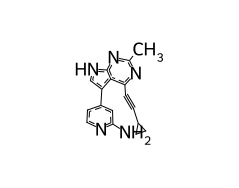 Cc1nc(C#CC2CC2)c2c(-c3ccnc(N)c3)c[nH]c2n1